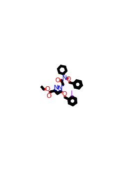 CCOC(=O)c1cc(OCc2ccccc2I)n(CC(=O)N(OCc2ccccc2)C2CCCCC2)n1